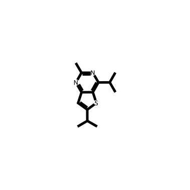 Cc1nc(C(C)C)c2sc(C(C)C)cc2n1